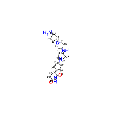 Nc1ccc(N2CCC(NC3CCN(c4ccc(C5CCC(=O)NC5=O)cc4)CC3)CC2)cc1